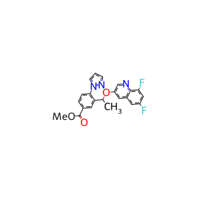 COC(=O)c1ccc(-n2cccn2)c(C(C)Oc2cnc3c(F)cc(F)cc3c2)c1